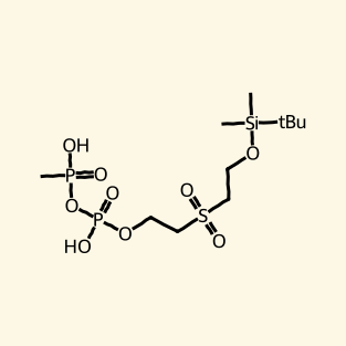 CC(C)(C)[Si](C)(C)OCCS(=O)(=O)CCOP(=O)(O)OP(C)(=O)O